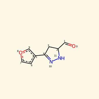 O=CC1CC(c2ccoc2)=NN1